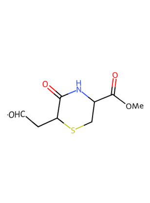 COC(=O)C1CSC(C[C]=O)C(=O)N1